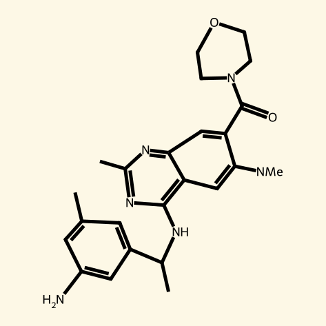 CNc1cc2c(NC(C)c3cc(C)cc(N)c3)nc(C)nc2cc1C(=O)N1CCOCC1